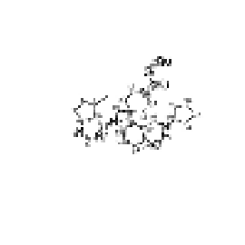 CC1CCc2ncnc(N3CC4(CCN(C(=O)OC(C)(C)C)CC4)c4c3ccc(Cl)c4CNC3CCCC3)c21